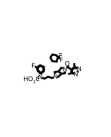 Cc1ncnc(C)c1C(=O)N1CC2CN(CCCN(C(=O)O)c3cccc(F)c3)CC2C1.FC1(F)CCCCC1